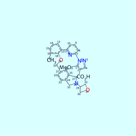 COc1c(C(=O)O)cnn1-c1cccc(-c2cccc(C)c2OCc2ccc3c(c2)CN(C2COC2)C3)n1